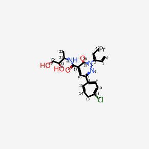 C=C/C(=C\C(C)C)n1nc(C2=CC=C(Cl)CC=C2)cc(C(=O)NC(C)C(O)CO)c1=O